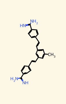 Cc1cc(/C=C/c2ccc(C(=N)N)cc2)cc(/C=C/c2ccc(C(=N)N)cc2)c1